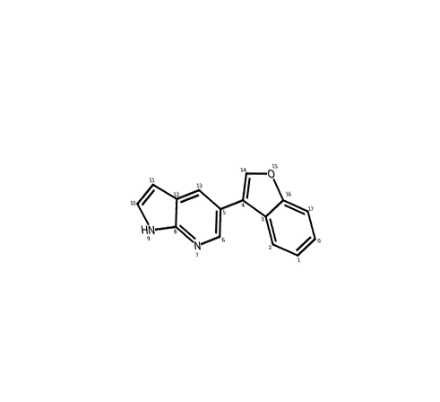 c1ccc2c(-c3cnc4[nH]ccc4c3)coc2c1